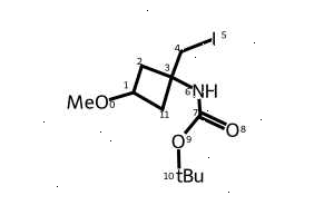 COC1CC(CI)(NC(=O)OC(C)(C)C)C1